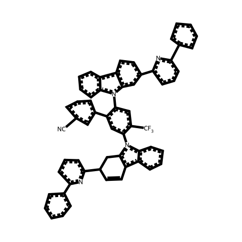 N#Cc1cccc(-c2cc(-n3c4c(c5ccccc53)C=CC(c3cccc(-c5ccccc5)n3)C4)c(C(F)(F)F)cc2-n2c3ccccc3c3ccc(-c4cccc(-c5ccccc5)n4)cc32)c1